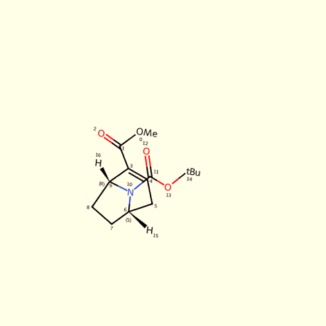 COC(=O)C1=CC[C@@H]2CC[C@H]1N2C(=O)OC(C)(C)C